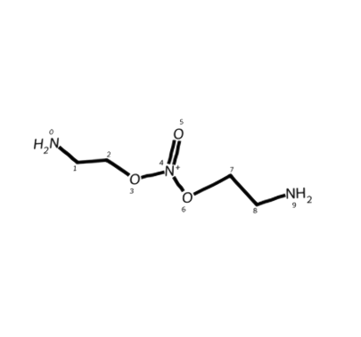 NCCO[N+](=O)OCCN